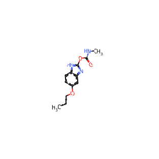 CCCOc1ccc2[nH]c(OC(=O)NC)nc2c1